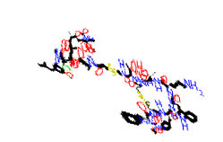 C=C[C@@H](OC)[C@@]1(O)C[C@@H]([C@@H](C)[C@@H]2O[C@@]2(C)[C@H](CC(=O)N(C)c2cc(C/C(C)=C/C)cc(OC)c2Cl)OC(=O)[C@H](C)N(C)C(=O)CCSSCCNC(=O)[C@@H](NC(=O)[C@@H]2CSSC[C@H](NC(=O)[C@@H](Cc3ccccc3)NC(=O)NCC)C(=O)N[C@@H](Cc3ccc(O)cc3)C(=O)N[C@H](Cc3c[nH]c4ccccc34)C(=O)N[C@@H](CCCCN)C(=O)N[C@@H]([C@@H](C)O)C(=O)N2)[C@@H](C)O)OC(=O)N1